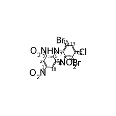 O=[N+]([O-])c1cc([N+](=O)[O-])c(Nc2cc(Br)c(Cl)cc2Br)c([N+](=O)[O-])c1